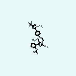 Cc1nc(-c2cccnc2OC(F)F)c2n1CCN(c1ccc(-c3nc(C(F)(F)F)cn3C)cc1)[C@@H]2C